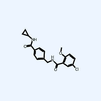 COc1ccc(Cl)cc1C(=O)NCc1ccc(C(=O)NC2CC2)cc1